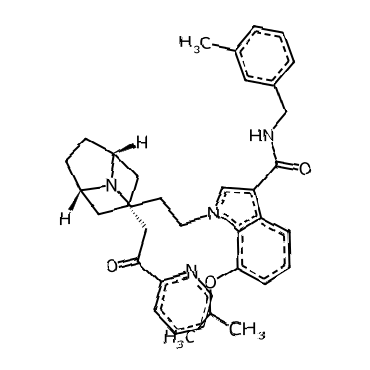 Cc1cccc(CNC(=O)c2cn(CCCN3[C@@H]4CC[C@H]3C[C@@H](CC(=O)c3ccccn3)C4)c3c(OC(C)C)cccc23)c1